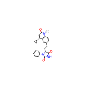 CCn1c(=O)cc(C2CC2)c2cc(CCC3C(=O)NC(=O)N3c3ccccc3)ccc21